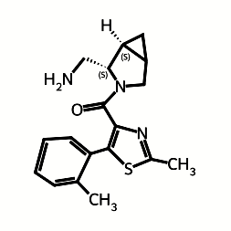 Cc1nc(C(=O)N2CC3C[C@@H]3[C@H]2CN)c(-c2ccccc2C)s1